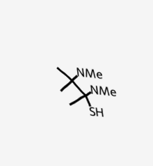 CNC(C)(C)C(C)(S)NC